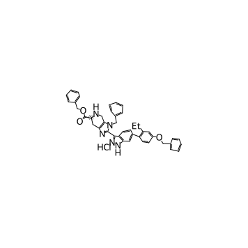 CCc1cc(OCc2ccccc2)ccc1-c1ccc2c(-c3nc4c(n3Cc3ccccc3)CN[C@H](C(=O)OCc3ccccc3)C4)n[nH]c2c1.Cl